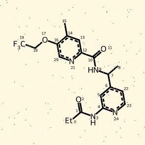 CCC(=O)Nc1cc(C(C)NC(=O)c2cc(C)c(OCC(F)(F)F)cn2)ccn1